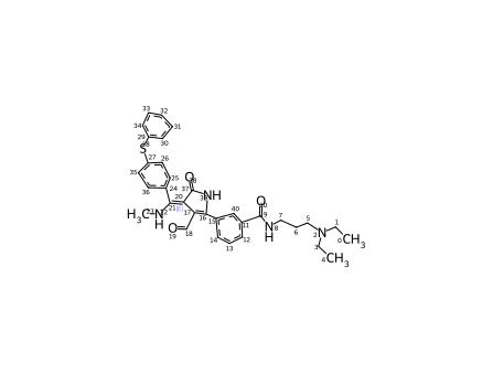 CCN(CC)CCCNC(=O)c1cccc(C2=C(C=O)/C(=C(\NC)c3ccc(Sc4ccccc4)cc3)C(=O)N2)c1